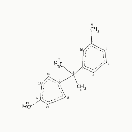 Cc1cccc(C(C)(C)c2ccc(O)cc2)c1